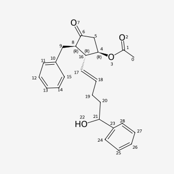 CC(=O)O[C@@H]1CC(=O)[C@H](Cc2ccccc2)[C@H]1C=CCCC(O)c1ccccc1